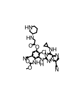 COC(=O)Nc1c(C#N)cc(OC(=O)CN[C@H]2CCCNC2)c(Cl)c1Nc1nc(NC2CC2)c2ncc(C#N)n2n1